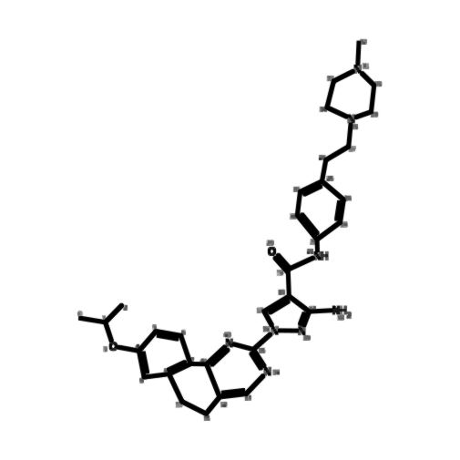 CC(C)Oc1ccc2c(c1)CCc1cnc(-n3cc(C(=O)Nc4ccc(CCN5CCN(C)CC5)cc4)c(N)n3)nc1-2